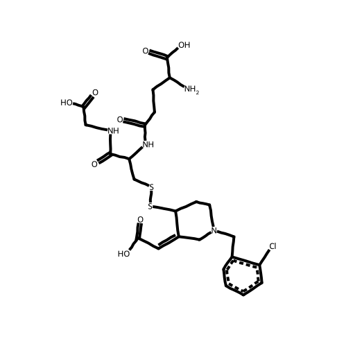 NC(CCC(=O)NC(CSSC1CCN(Cc2ccccc2Cl)C/C1=C/C(=O)O)C(=O)NCC(=O)O)C(=O)O